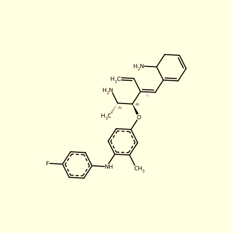 C=C/C(=C\C1=CC=CCC1N)[C@@H](Oc1ccc(Nc2ccc(F)cc2)c(C)c1)[C@H](C)N